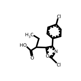 CCC(C(=O)O)c1oc(Cl)nc1-c1ccc(Cl)cc1